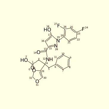 O=C(O)CC(Cc1ccccc1)(NC(=O)c1cc(O)n(-c2ccc(F)cc2F)n1)C1=COCO1